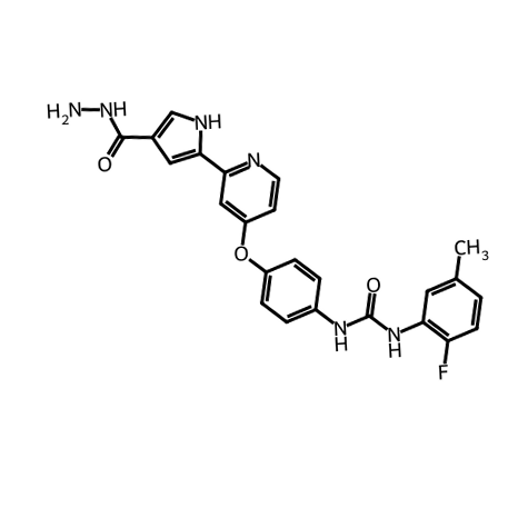 Cc1ccc(F)c(NC(=O)Nc2ccc(Oc3ccnc(-c4cc(C(=O)NN)c[nH]4)c3)cc2)c1